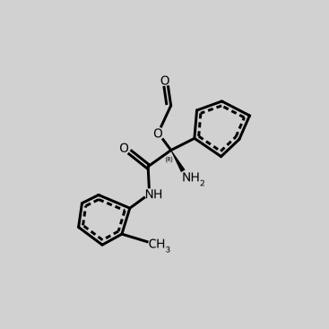 Cc1ccccc1NC(=O)[C@](N)(OC=O)c1ccccc1